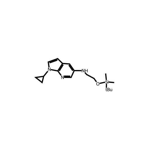 CC(C)(C)[Si](C)(C)OCCNc1cnc2c(ccn2C2CC2)c1